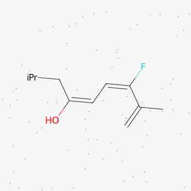 C=C(C)/C(F)=C\C=C(\O)CC(C)C